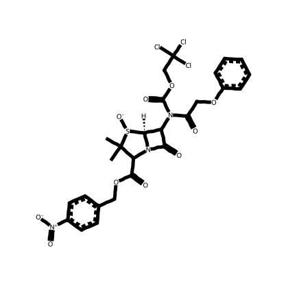 CC1(C)C(C(=O)OCc2ccc([N+](=O)[O-])cc2)N2C(=O)C(N(C(=O)COc3ccccc3)C(=O)OCC(Cl)(Cl)Cl)[C@@H]2[S+]1[O-]